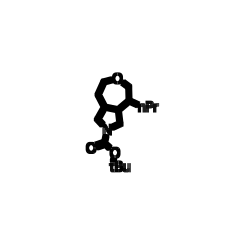 CCCC1COCCC2CN(C(=O)OC(C)(C)C)CC12